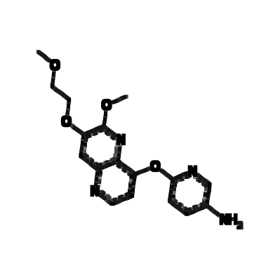 COCCOc1cc2nccc(Oc3ccc(N)cn3)c2nc1OC